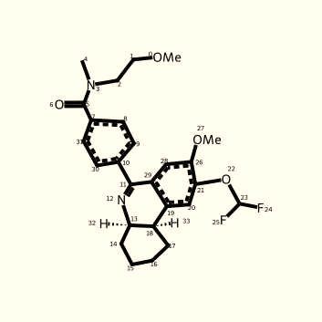 COCCN(C)C(=O)c1ccc(C2=N[C@@H]3CCCC[C@@H]3c3cc(OC(F)F)c(OC)cc32)cc1